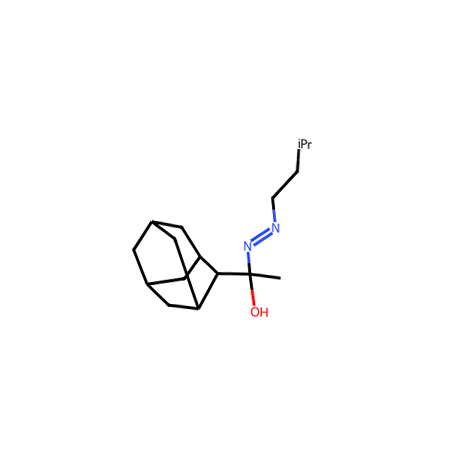 CC(C)CCN=NC(C)(O)C1C2CC3CC(C2)CC1C3